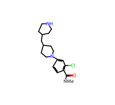 CNC(=O)c1ccc(N2CCC(CC3CCNCC3)CC2)cc1Cl